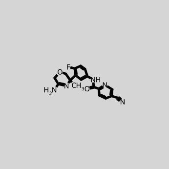 CC1(c2cc(NC(=O)c3ccc(C#N)cn3)ccc2F)COCC(N)=N1